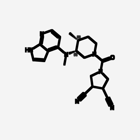 C[C@@H]1CCN(C(=O)N2CC(C#N)C(C#N)C2)C[C@@H]1N(C)c1ccnc2[nH]ccc12